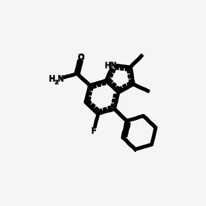 Cc1[nH]c2c(C(N)=O)cc(F)c(C3=C[CH]CCC3)c2c1C